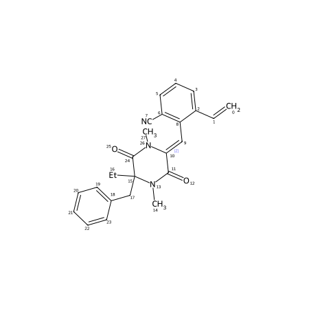 C=Cc1cccc(C#N)c1/C=C1/C(=O)N(C)C(CC)(Cc2ccccc2)C(=O)N1C